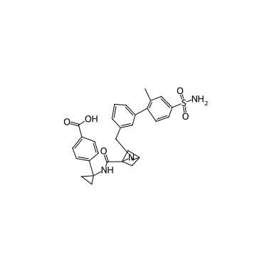 Cc1cc(S(N)(=O)=O)ccc1-c1cccc(CN2CC3CC2(C(=O)NC2(c4ccc(C(=O)O)cc4)CC2)C3)c1